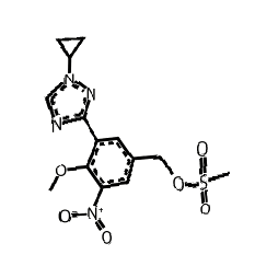 COc1c(-c2ncn(C3CC3)n2)cc(COS(C)(=O)=O)cc1[N+](=O)[O-]